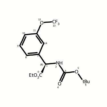 CCOC(=O)[C@H](NC(=O)OC(C)(C)C)c1cccc(OC(F)(F)F)c1